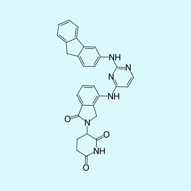 O=C1CCC(N2Cc3c(Nc4ccnc(Nc5ccc6c(c5)-c5ccccc5C6)n4)cccc3C2=O)C(=O)N1